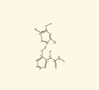 CCc1cc(Cl)c(OCc2ccccc2C(C)C(=O)OC)cc1F